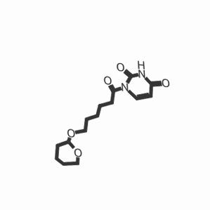 O=C(CCCCCOC1CCCCO1)n1ccc(=O)[nH]c1=O